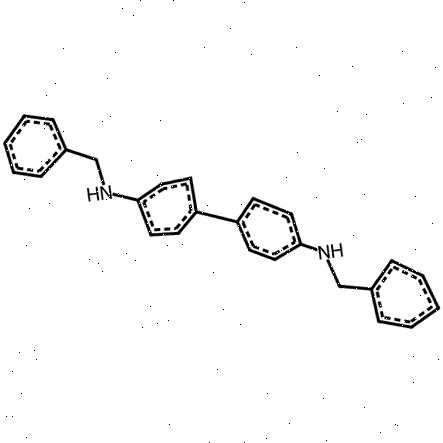 c1ccc(CNc2ccc(-c3ccc(NCc4ccccc4)cc3)cc2)cc1